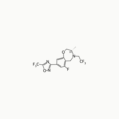 C[C@H]1COc2cc(-c3noc(C(F)(F)F)n3)cc(F)c2CN1CC(F)(F)F